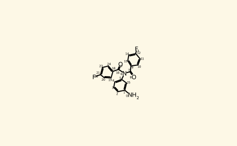 Nc1cccc(N(C(=O)c2ccc(F)cc2)C(=O)c2ccc(F)cc2)c1